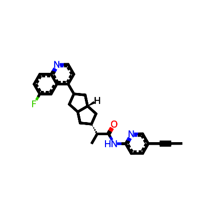 CC#Cc1ccc(NC(=O)C(C)[C@@H]2CC3CC(c4ccnc5ccc(F)cc45)C[C@@H]3C2)nc1